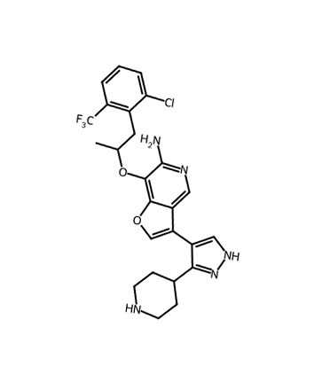 CC(Cc1c(Cl)cccc1C(F)(F)F)Oc1c(N)ncc2c(-c3c[nH]nc3C3CCNCC3)coc12